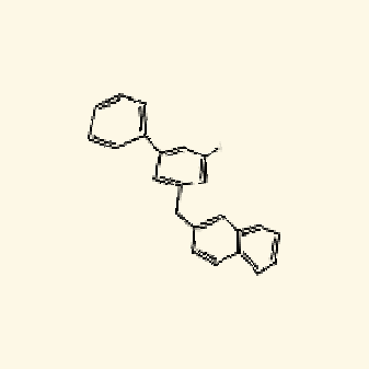 Ic1cc(Cc2ccc3ccccc3c2)cc(-c2ccccc2)c1